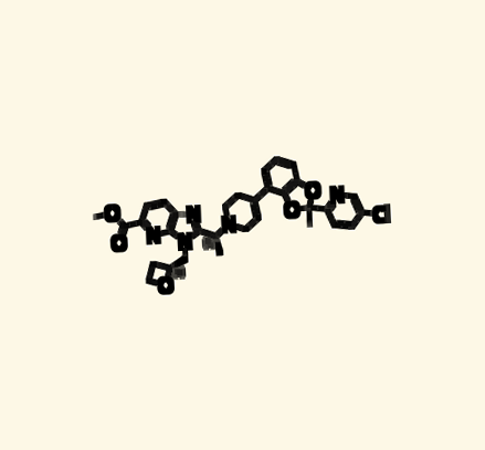 COC(=O)c1ccc2nc([C@H](C)N3CC=C(c4cccc5c4OC(C)(c4ccc(Cl)cn4)O5)CC3)n(C[C@@H]3CCO3)c2n1